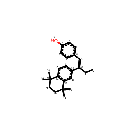 CC/C(=C/c1ccc(O)cc1)c1ccc2c(c1)C(C)(C)CCC2(C)C